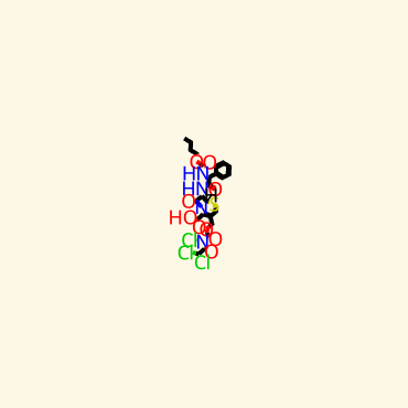 CCCCOC(=O)NC(C(=O)NC1C(=O)N2C(C(=O)O)=C(COC(=O)N(Cl)C(=O)C(Cl)Cl)CS[C@@H]12)c1ccccc1